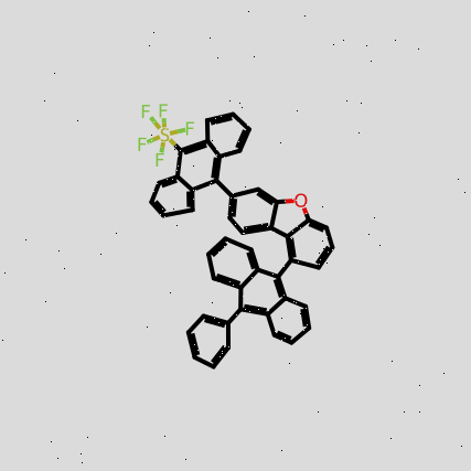 FS(F)(F)(F)(F)c1c2ccccc2c(-c2ccc3c(c2)oc2cccc(-c4c5ccccc5c(-c5ccccc5)c5ccccc45)c23)c2ccccc12